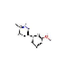 COc1cccc(C2=CN=C(C)CC2)c1